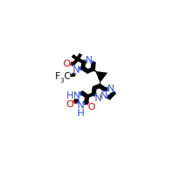 CC1(C)C(=O)N(CC(F)(F)F)c2cc([C@H]3C[C@@H]3c3cc(-c4c[nH]c(=O)[nH]c4=O)nn4ccnc34)cnc21